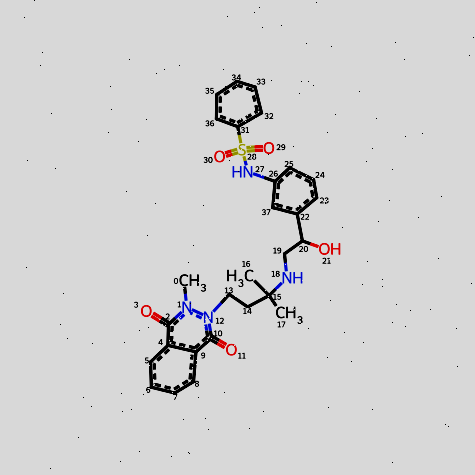 Cn1c(=O)c2ccccc2c(=O)n1CCC(C)(C)NCC(O)c1cccc(NS(=O)(=O)c2ccccc2)c1